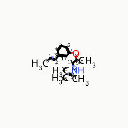 C/C=C/c1cccc(O[C@@H](C)CNC(C)(C)C)c1